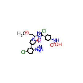 COCCC(c1nc(Cl)c(-c2ccc(NC(=O)O)cc2)[nH]1)n1ccc(-c2cc(Cl)ccc2-n2cnnn2)cc1=O